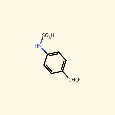 O=[C]c1ccc(NS(=O)(=O)O)cc1